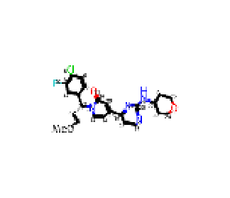 COCC[C@H](c1ccc(Cl)c(F)c1)n1ccc(-c2ccnc(NC3CCOCC3)n2)cc1=O